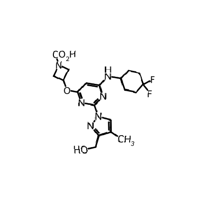 Cc1cn(-c2nc(NC3CCC(F)(F)CC3)cc(OC3CN(C(=O)O)C3)n2)nc1CO